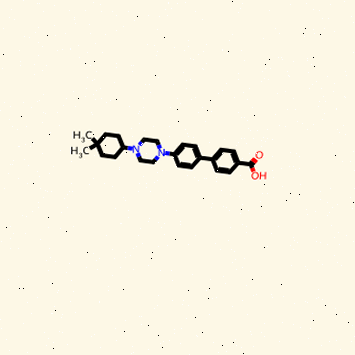 CC1(C)CCC(N2CCN(c3ccc(-c4ccc(C(=O)O)cc4)cc3)CC2)CC1